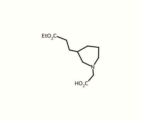 CCOC(=O)CCC1CCCN(CC(=O)O)C1